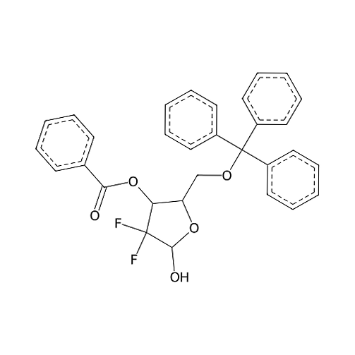 O=C(OC1C(COC(c2ccccc2)(c2ccccc2)c2ccccc2)OC(O)C1(F)F)c1ccccc1